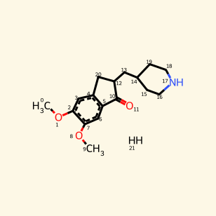 COc1cc2c(cc1OC)C(=O)C(CC1CCNCC1)C2.[HH]